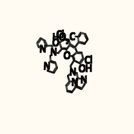 O=C(O)c1ccccc1-c1c2cc(Cl)c(=O)c(CN(Cc3ccccn3)Cc3ccccn3)c-2oc2c(CN(Cc3ccccn3)Cc3ccccn3)c(O)c(Cl)cc12